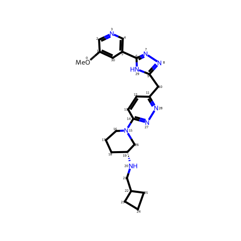 COc1cncc(-c2nnc(Cc3ccc(N4CCC[C@@H](NCC5CCC5)C4)nn3)[nH]2)c1